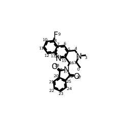 CCN(C)Cc1cc2c(F)cccc2nc1CN1C(=O)c2ccccc2C1=O